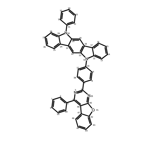 c1ccc(-c2nc(-c3ccc(-n4c5ccccc5c5cc6c(cc54)c4ccccc4n6-c4ccccc4)cc3)nc3oc4ccccc4c23)cc1